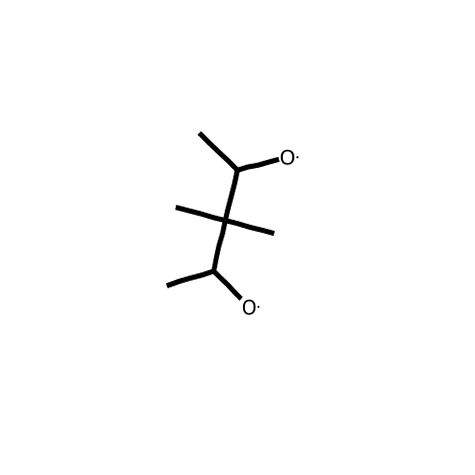 CC([O])C(C)(C)C(C)[O]